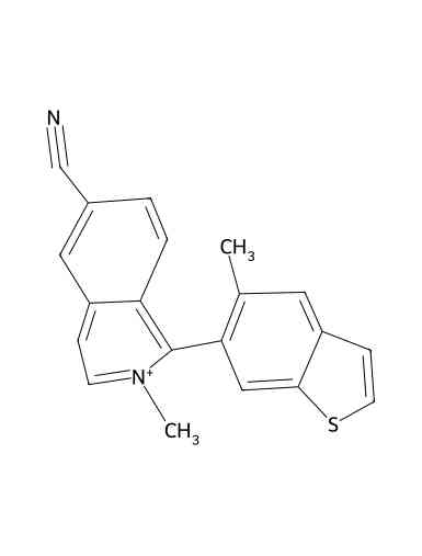 Cc1cc2ccsc2cc1-c1c2ccc(C#N)cc2cc[n+]1C